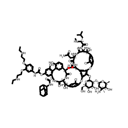 CCNCCOc1ccc(NC(=O)Oc2cc(O)c3c(c2)[C@@H](C(=O)NC2C4CC5CC(C4)CC2C5)NC(=O)[C@H]2NC(=O)[C@H](NC(=O)[C@@H]4NC(=O)[C@H](CC(N)=O)NC(=O)[C@H](NC(=O)[C@@H](CC(C)C)NC)[C@H](O)c5ccc(c(Cl)c5)Oc5cc4cc(c5O[C@@H]4O[C@H](CO)[C@@H](O)[C@H](O)[C@H]4O[C@H]4C[C@](C)(N)[C@H](O)[C@H](C)O4)Oc4ccc(cc4Cl)[C@H]2O)c2ccc(O)c-3c2)cc1OCCNCC